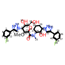 CO[C@@H]1[C@@H](n2cc(-c3cccc(F)c3)nn2)[C@@H](O)[C@@H](CO)O[C@H]1C(=O)N(C)[C@H]1CCC[C@@H](n2cc(-c3cccc(F)c3)nn2)[C@@H]1O